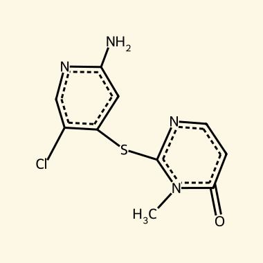 Cn1c(Sc2cc(N)ncc2Cl)nccc1=O